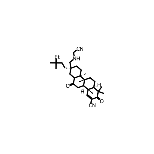 CCC(C)(C)CC[C@]1(CNCC#N)CC[C@]2(C)C(C1)C(=O)C[C@@H]1[C@@]3(C)C=C(C#N)C(=O)C(C)(C)[C@@H]3CC[C@]12C